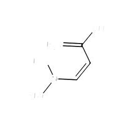 C=C(C)/C=C\N(C)CCCC